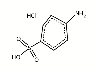 Cl.Nc1ccc(S(=O)(=O)O)cc1